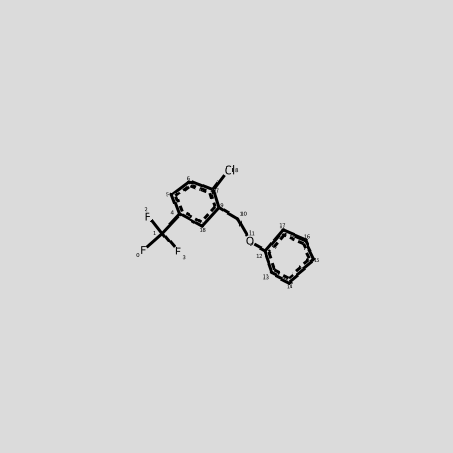 FC(F)(F)c1ccc(Cl)c(COc2c[c]ccc2)c1